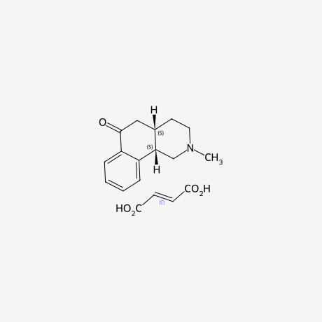 CN1CC[C@H]2CC(=O)c3ccccc3[C@H]2C1.O=C(O)/C=C/C(=O)O